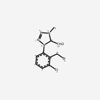 CCc1cccc(N2N=NN(C)C2C=O)c1CBr